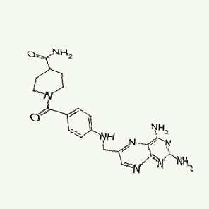 NC(=O)C1CCN(C(=O)c2ccc(NCc3cnc4nc(N)nc(N)c4n3)cc2)CC1